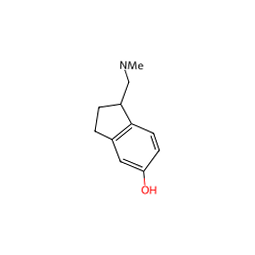 CNCC1CCc2cc(O)ccc21